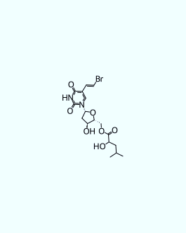 CC(C)CC(O)C(=O)OC[C@H]1O[C@@H](n2cc(/C=C/Br)c(=O)[nH]c2=O)C[C@@H]1O